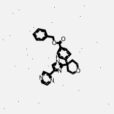 O=C(OCc1ccccc1)c1ccc(C2(c3nc(-c4cnccn4)c[nH]3)CCOCC2)cc1